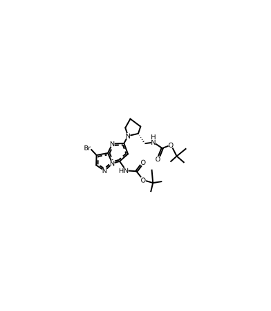 CC(C)(C)OC(=O)NC[C@H]1CCCN1c1cc(NC(=O)OC(C)(C)C)n2ncc(Br)c2n1